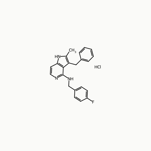 Cc1[nH]c2ccnc(NCc3ccc(F)cc3)c2c1Cc1ccccc1.Cl